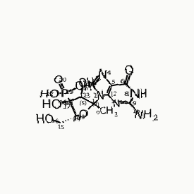 C[C@@]1(n2cnc3c(=O)[nH]c(N)nc32)O[C@H](CO)[C@](O)(P(=O)(O)O)[C@H]1O